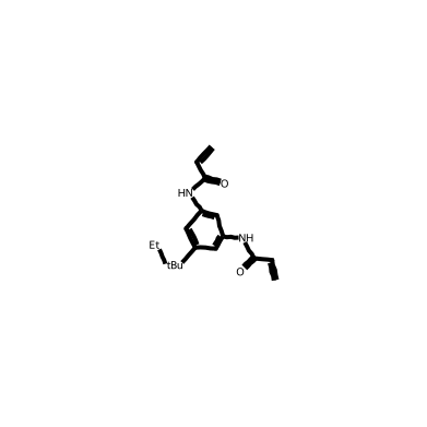 C=CC(=O)Nc1cc(NC(=O)C=C)cc(C(C)(C)C)c1.CCC